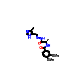 COc1ccc(C(=O)N[C@@H](C)C(=O)N/N=C/c2[nH]cnc2C)cc1OC